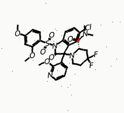 COc1ccc(S(=O)(=O)N2C(=O)C(c3cccnc3OC)(N3CCC(F)(F)C[C@H]3C(=O)N(C)C)c3cc(Cl)ccc32)c(OC)c1